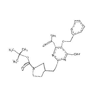 CC(C)(C)OC(=O)N1CCC(Cc2nc(O)c(OCc3ccccc3)c(C(=O)O)n2)C1